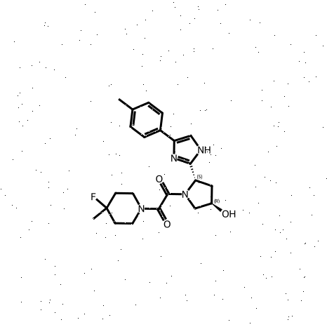 Cc1ccc(-c2c[nH]c([C@@H]3C[C@@H](O)CN3C(=O)C(=O)N3CCC(C)(F)CC3)n2)cc1